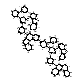 c1ccc(-c2ccccc2-c2nc(-c3cccc(-c4cc5ccc(-c6ccc(-c7nc(-c8cccc(-c9cc%10ccc%11ccccc%11c%10c%10ccccc9%10)c8)nc(-c8cccc9oc%10ccccc%10c89)n7)c(-c7ccccc7)c6)cc5c5c4ccc4ccccc45)c3)nc(-c3cccc4oc5ccccc5c34)n2)cc1